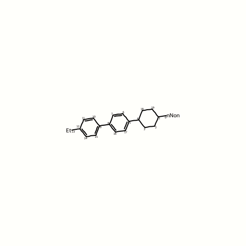 CCCCCCCCCC1CCC(c2ccc(-c3ccc(CC)cc3)cc2)CC1